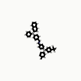 Cc1ccc(N(c2ccc(/C=C/c3ccc(N(c4ccccc4)c4ccc5ccccc5c4)cc3)cc2)c2ccc(C(C)(C)C)cc2)cc1